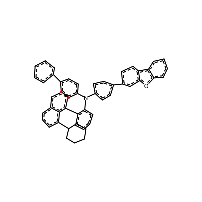 c1ccc(-c2ccc(N(c3ccc(-c4ccc5c(c4)oc4ccccc45)cc3)c3ccccc3-c3cccc4cccc(C5CCCCC5)c34)cc2)cc1